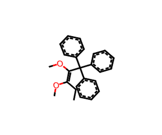 CCC(OC)=C(OC)C(c1ccccc1)(c1ccccc1)c1ccccc1